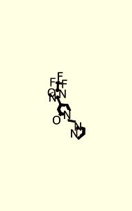 O=c1cc(-c2noc(C(F)(F)F)n2)ccn1CCn1cccn1